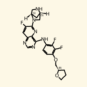 Fc1cc2ncnc(Nc3ccc(OC[C@H]4CCCO4)c(F)c3F)c2nc1N1C[C@@H]2C[C@H]1CN2